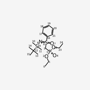 CCOP(=O)(CS(=O)(=N[Si](C)(C)C(C)(C)C)c1ccccc1)OCC